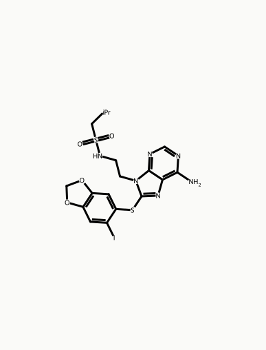 CC(C)CS(=O)(=O)NCCn1c(Sc2cc3c(cc2I)OCO3)nc2c(N)ncnc21